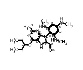 CCC(CC)Oc1nc(C)nc2c1NC(C=O)N2c1c(NC)cc(NC)cc1NC